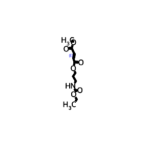 CCOC(=O)NCCCOC(=O)/C=C/C(=O)OC